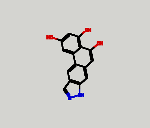 Oc1cc(O)c2c(O)cc3cc4[nH]ncc4cc3c2c1